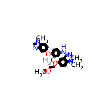 C=Nc1ccc(OCCOC)cc1/C(=N\C)Nc1ccc(Oc2ccc3c(c2)ncn3C)c(C)c1